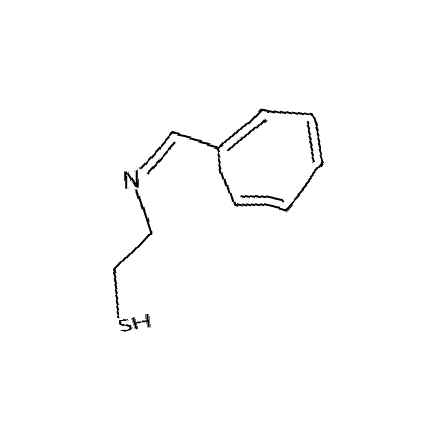 SCC/N=C\c1ccccc1